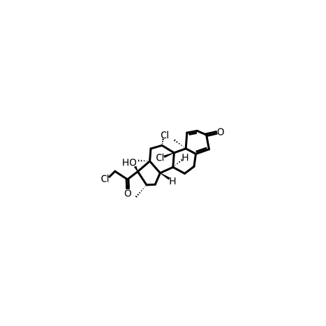 C[C@H]1C[C@H]2[C@@H]3CCC4=CC(=O)C=C[C@]4(C)[C@@]3(Cl)[C@@H](Cl)C[C@]2(C)[C@@]1(O)C(=O)CCl